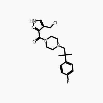 CC(C)(CN1CCN(C(=O)c2n[nH]cc2CCl)CC1)c1ccc(F)cc1